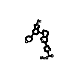 COC(=O)c1ccc(-c2cc3cccc(-c4cc(C5=CCOCC5)cc5cn(C(C)=O)cc45)c3cn2)cn1